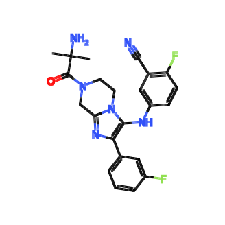 CC(C)(N)C(=O)N1CCn2c(nc(-c3cccc(F)c3)c2Nc2ccc(F)c(C#N)c2)C1